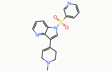 CN1CC=C(c2cn(S(=O)(=O)c3cccnc3)c3cccnc23)CC1